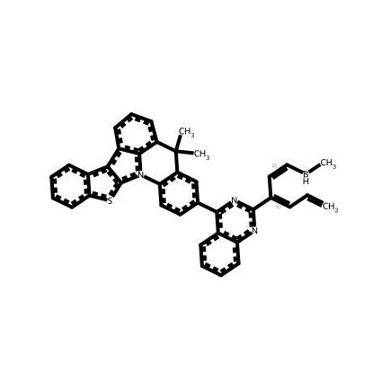 C=C/C=C(\C=C/BC)c1nc(-c2ccc3c(c2)C(C)(C)c2cccc4c5c6ccccc6sc5n-3c24)c2ccccc2n1